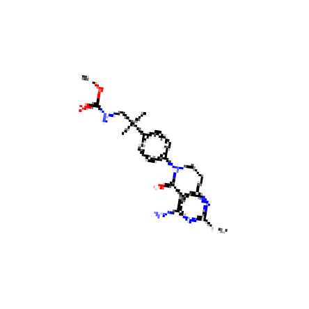 COc1nc(N)c2c(n1)CCN(c1ccc(C(C)(C)CNC(=O)OC(C)(C)C)cc1)C2=O